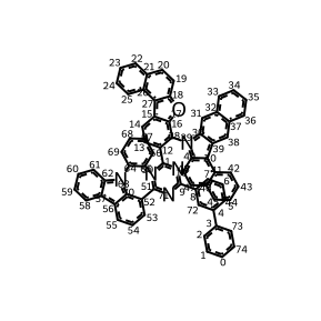 c1ccc(-c2cccc(-c3nc(-c4ccc5c(oc6ccc7ccccc7c65)c4-n4c5cc6ccccc6cc5c5c6ccccc6ccc54)nc(-c4cccc5c6ccccc6n(-c6ccccc6)c45)n3)c2)cc1